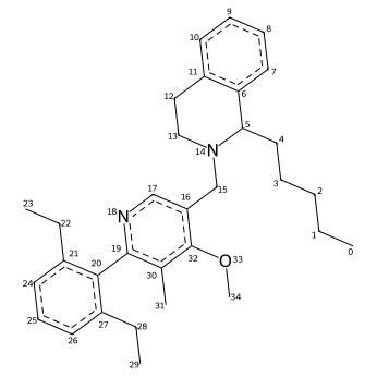 CCCCCC1c2ccccc2CCN1Cc1cnc(-c2c(CC)cccc2CC)c(C)c1OC